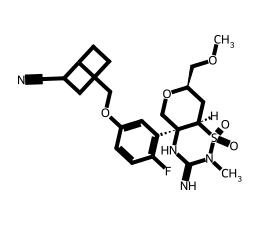 COC[C@H]1C[C@@H]2[C@](c3cc(OCC45CCC4C(C#N)C5)ccc3F)(CO1)NC(=N)N(C)S2(=O)=O